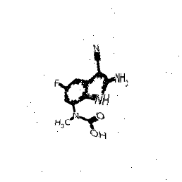 CN(C(=O)O)c1cc(F)cc2c(C#N)c(N)[nH]c12